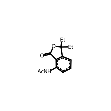 CCC1(CC)OC(=O)c2c(NC(C)=O)cccc21